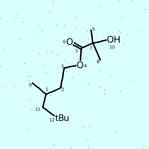 CC(CCOC(=O)C(C)(C)O)CC(C)(C)C